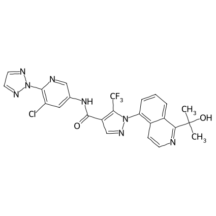 CC(C)(O)c1nccc2c(-n3ncc(C(=O)Nc4cnc(-n5nccn5)c(Cl)c4)c3C(F)(F)F)cccc12